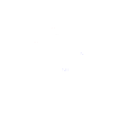 O=C1C=C([N+](=O)[O-])C2=C(C=C3C=CC=CC3N2)C1O